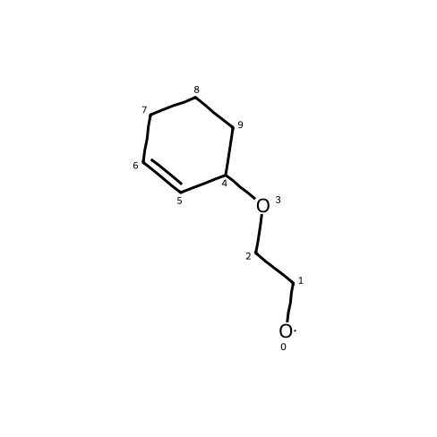 [O]CCOC1C=CCCC1